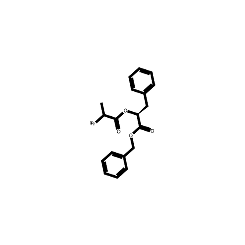 CC(C)C(C)C(=O)O[C@@H](Cc1ccccc1)C(=O)OCc1ccccc1